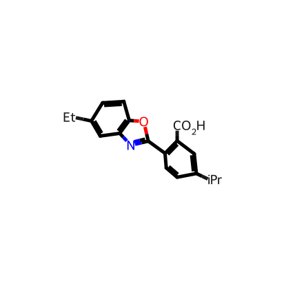 CCc1ccc2oc(-c3ccc(C(C)C)cc3C(=O)O)nc2c1